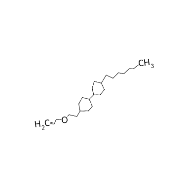 C=CCOCCC1CCC(C2CCC(CCCCCCC)CC2)CC1